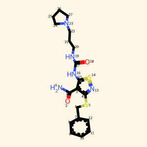 NC(=O)c1c(SCc2ccccc2)nsc1NC(=O)NCCCN1CCCC1